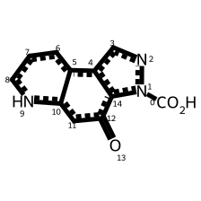 O=C(O)n1ncc2c3ccc[nH]c-3cc(=O)c21